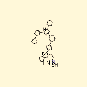 N=C1/C(=N\S)C=Cc2c(-c3ccc(-c4cccc(-c5cc(-c6ccccc6)nc(-c6cccc(-c7ccccc7)c6)n5)c4)cc3)nc3ccccc3c21